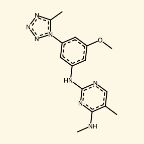 CNc1nc(Nc2cc(OC)cc(-n3nnnc3C)c2)ncc1C